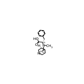 CN([C@@H]1CN2CCC1CC2)[C@@H](Cc1ccccc1)C(=O)O